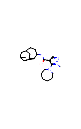 Cn1ncc(C(=O)NC2CCC3CC4CC(C3)C2C4)c1N1CCCCCC1